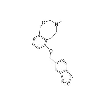 CN1CCc2c(cccc2OCc2ccc3nonc3c2)COC1